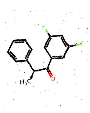 C[C@H](C(=O)c1cc(F)cc(F)c1)c1ccccc1